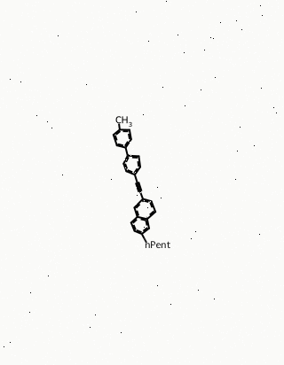 CCCCCc1ccc2cc(C#Cc3ccc(-c4ccc(C)cc4)cc3)ccc2c1